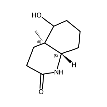 C[C@@]12CCC(=O)N[C@H]1CCCC2O